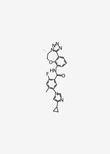 Cc1cc(F)c(C(=O)Nc2cccc3c2OC[C@H](C)n2nnnc2-3)cc1-n1cnc(C2CC2)c1